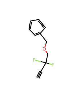 C#CC(F)(F)COCc1ccccc1